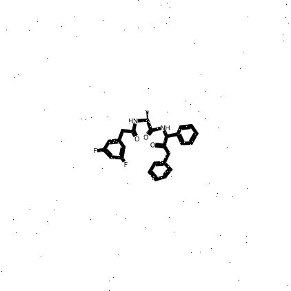 C[C@H](NC(=O)Cc1cc(F)cc(F)c1)C(=O)NC(C(=O)Cc1ccccc1)c1ccccc1